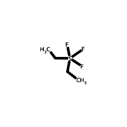 CC[S](F)(F)(F)CC